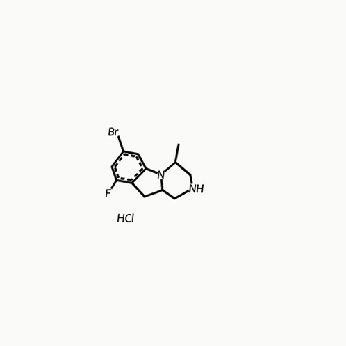 CC1CNCC2Cc3c(F)cc(Br)cc3N12.Cl